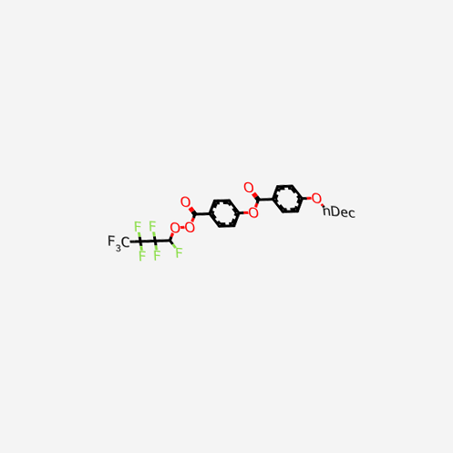 CCCCCCCCCCOc1ccc(C(=O)Oc2ccc(C(=O)OOC(F)C(F)(F)C(F)(F)C(F)(F)F)cc2)cc1